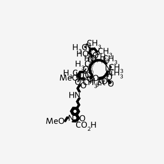 CC[C@@H]1OC(=O)[C@H](C)[C@H](O[C@@H]2C[C@](C)(OC)[C@H](OC(=O)CCNCCCc3ccc4c(c3)c(=O)c(C(=O)O)cn4CCOC)[C@H](C)O2)[C@@H](C)[C@H](O[C@@H]2O[C@H](C)C[C@H](N(C)C)[C@@H]2O)[C@](C)(O)C[C@H](C)CN(C)[C@H](C)[C@H]2OC(=O)O[C@]12C